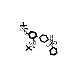 CC(C)(C)[Si](C)(C)Oc1ccc([C@H]2CC[C@@H](NS(=O)(=O)c3ccccc3)CC2)c(O[Si](C)(C)C(C)(C)C)c1